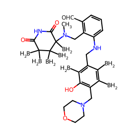 Bc1c(B)c(CN2CCOCC2)c(O)c(B)c1CNc1cccc(C=O)c1CN(C)C1(B)C(=O)NC(=O)C(B)(B)C1(B)B